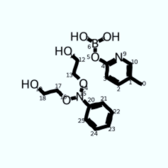 Cc1ccc(OB(O)O)nc1.OCCON(OCCO)c1ccccc1